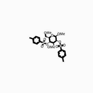 COC[C@H]1O[C@@H](OC)[C@H](OS(=O)(=O)c2ccc(C)cc2)[C@@H](OC)[C@@H]1OS(=O)(=O)c1ccc(C)cc1